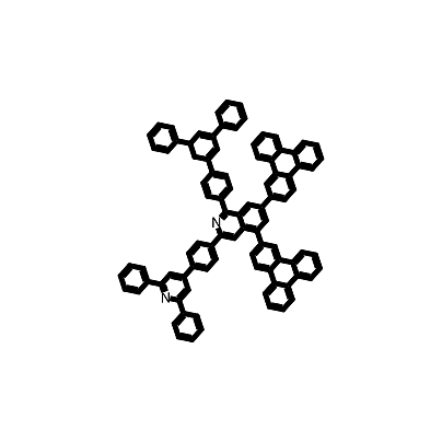 C1=C(c2ccccc2)C=C(c2ccc(-c3nc(-c4ccc(-c5cc(-c6ccccc6)nc(-c6ccccc6)c5)cc4)cc4c(-c5ccc6c7ccccc7c7ccccc7c6c5)cc(-c5ccc6c7ccccc7c7ccccc7c6c5)cc34)cc2)CC1c1ccccc1